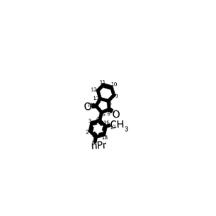 CCCc1ccc(C2C(=O)C3CC=CCC3C2=O)c(C)c1